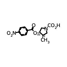 C[C@H]1CN(C(=O)O)C[C@H]1OC(=O)c1ccc([N+](=O)[O-])cc1